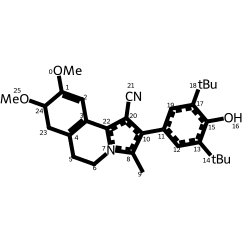 COC1=CC2=C(CCn3c(C)c(-c4cc(C(C)(C)C)c(O)c(C(C)(C)C)c4)c(C#N)c32)CC1OC